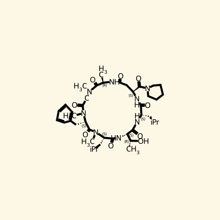 CC(C)C[C@@H]1NC(=O)[C@H]([C@@H](C)O)NC(=O)[C@H](CC(C)C)N(C)C(=O)[C@H](Cc2ccccc2)N(C)C(=O)CN(C)C(=O)[C@@H](C)NC(=O)C[C@@H](C(=O)N2CCCCC2)NC1=O